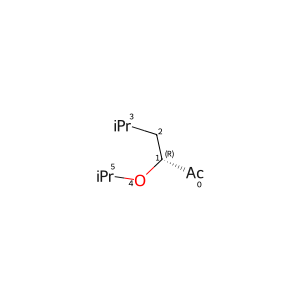 CC(=O)[C@@H](CC(C)C)OC(C)C